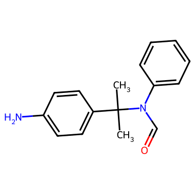 CC(C)(c1ccc(N)cc1)N(C=O)c1ccccc1